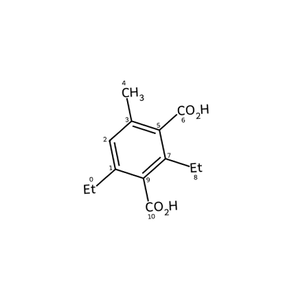 CCc1cc(C)c(C(=O)O)c(CC)c1C(=O)O